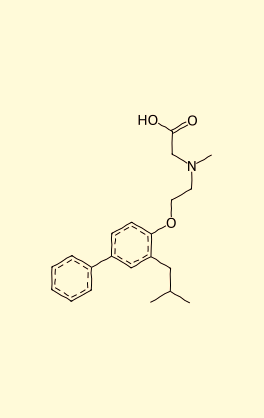 CC(C)Cc1cc(-c2ccccc2)ccc1OCCN(C)CC(=O)O